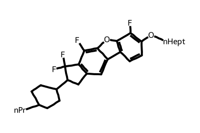 CCCCCCCOc1ccc2c(oc3c(F)c4c(cc32)CC(C2CCC(CCC)CC2)C4(F)F)c1F